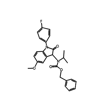 COc1ccc2c(c1)C(N(C(=O)OCc1ccccc1)C(C)C)C(=O)N2c1ccc(F)cc1